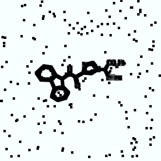 CCCCCCC(C(=O)OCC)n1cnc(C(=O)NC2c3ccccc3-c3ccccc32)c1